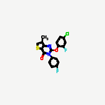 Cc1csc2c(=O)n(-c3ccc(F)cc3)c(Oc3ccc(Cl)cc3F)nc12